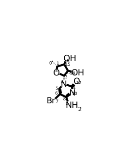 C[C@H]1O[C@@H](n2cc(Br)c(N)nc2=O)C(O)C1O